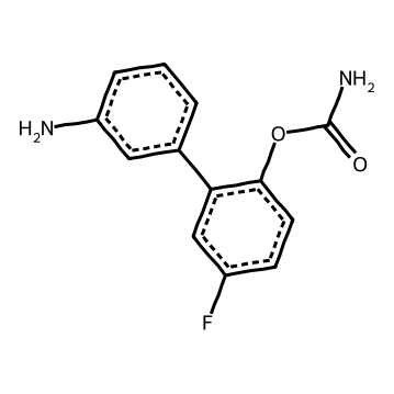 NC(=O)Oc1ccc(F)cc1-c1cccc(N)c1